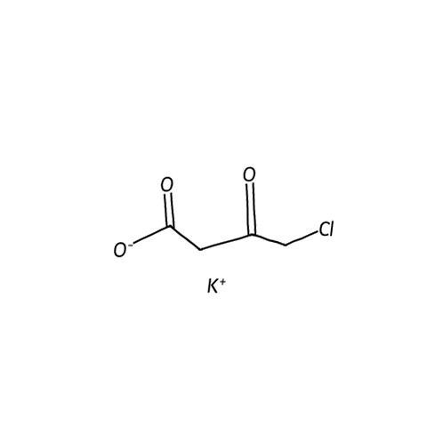 O=C([O-])CC(=O)CCl.[K+]